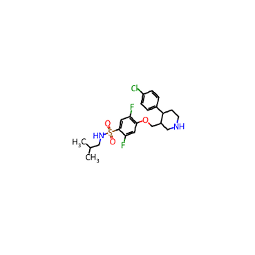 CC(C)CNS(=O)(=O)c1cc(F)c(OCC2CNCCC2c2ccc(Cl)cc2)cc1F